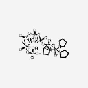 O=P(O)(O)OP(=O)(O)OP(=O)(O)OP(=O)(O)OP(=O)(O)OP(=O)(O)OP(Br)(N1CCCC1)(N1CCCC1)N1CCCC1